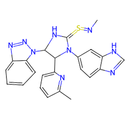 CN=S=C1NC(n2nnc3ccccc32)C(c2cccc(C)n2)N1c1ccc2nc[nH]c2c1